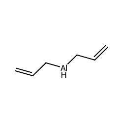 C=C[CH2][AlH][CH2]C=C